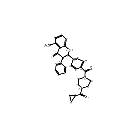 CC(=O)Oc1cccc2c1C(=O)C(c1ccccc1)C(c1ccc(C(=O)N3CCN(C(=O)C4CC4)CC3)cc1)N2